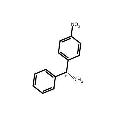 C[C@H](c1ccccc1)c1ccc([N+](=O)[O-])cc1